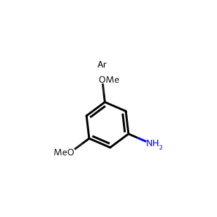 COc1cc(N)cc(OC)c1.[Ar]